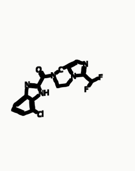 O=C(c1nc2cccc(Cl)c2[nH]1)N1CCn2c(cnc2C(F)F)C1